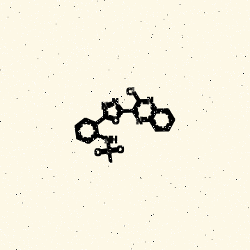 CS(=O)(=O)Nc1ccccc1-c1nnc(-c2nc3ccccc3nc2Cl)o1